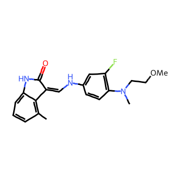 COCCN(C)c1ccc(NC=C2C(=O)Nc3cccc(C)c32)cc1F